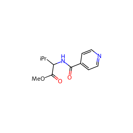 COC(=O)C(NC(=O)c1ccncc1)C(C)C